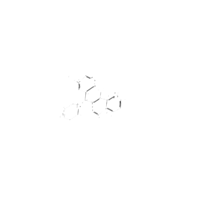 Oc1c(C(c2cncc(F)c2)N2CCOCC2)ccc2cccnc12